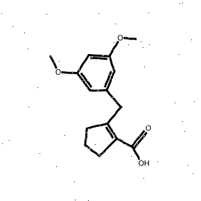 COc1cc(CC2=C(C(=O)O)CCC2)cc(OC)c1